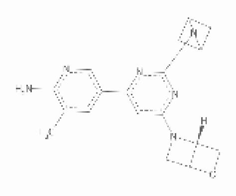 Nc1ncc(-c2cc(N3CC4OC[C@H]43)nc(N3CC4CC3C4)n2)cc1C(F)(F)F